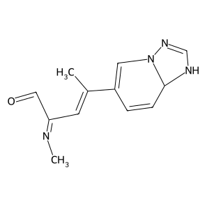 C/N=C(C=O)\C=C(/C)C1=CN2N=CNC2C=C1